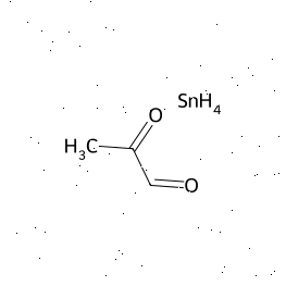 CC(=O)C=O.[SnH4]